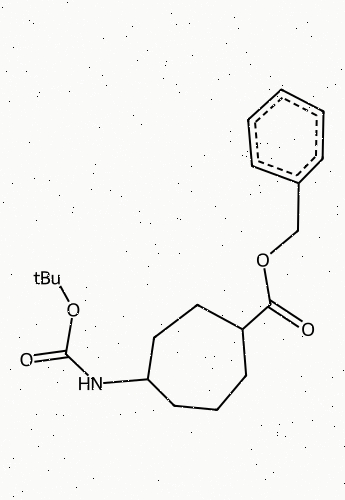 CC(C)(C)OC(=O)NC1CCCC(C(=O)OCc2ccccc2)CC1